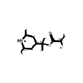 CC1CC(C(C)(C)OC(=O)C(C)I)CC(C)N1